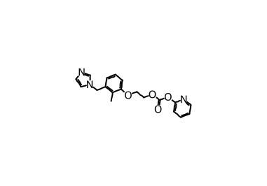 Cc1c(Cn2ccnc2)cccc1OCCOC(=O)Oc1ccccn1